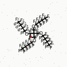 FC(F)(F)C(F)(F)C(F)(F)C(F)(F)OC(F)(F)C(C(F)(F)OC(F)(F)C(F)(F)C(F)(F)C(F)(F)F)(C(F)(F)OC(F)(F)C(F)(F)C(F)(F)C(F)(F)F)C(F)(F)OC(F)(F)C(F)(F)C(F)(F)C(F)(F)F